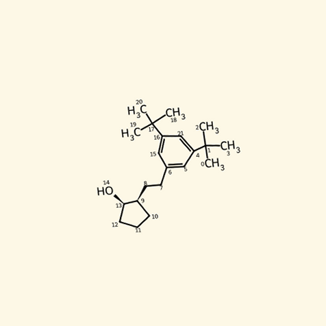 CC(C)(C)c1cc(CC[C@H]2CCC[C@H]2O)cc(C(C)(C)C)c1